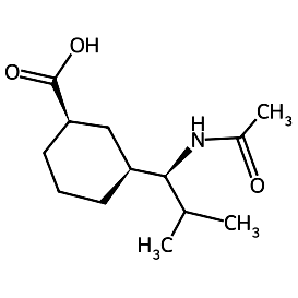 CC(=O)N[C@@H](C(C)C)[C@H]1CCC[C@@H](C(=O)O)C1